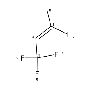 CC(I)=CC(F)(F)F